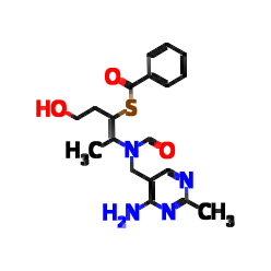 C/C(=C(\CCO)SC(=O)c1ccccc1)N(C=O)Cc1cnc(C)nc1N